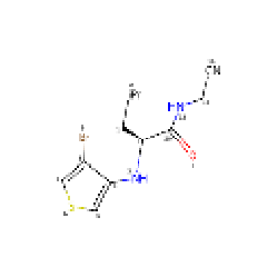 CC(C)C[C@H](Nc1cscc1Br)C(=O)NCC#N